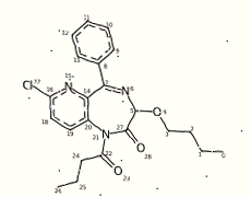 CCCCOC1N=C(c2ccccc2)c2nc(Cl)ccc2N(C(=O)CCC)C1=O